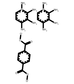 Nc1cc[n+](N)c(N)c1N.Nc1cc[n+](N)c(N)c1N.O=C(O[O-])c1ccc(C(=O)O[O-])cc1